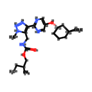 CC(COC(=O)NCc1c(-c2ncc(O[C@H]3CCC[C@H](C(=O)O)C3)cn2)nnn1C)CC(F)(F)F